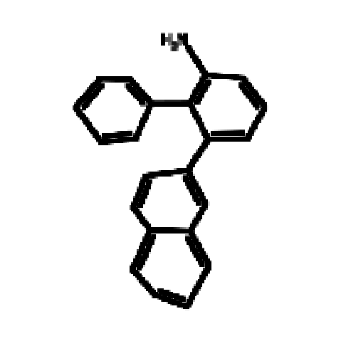 Nc1cccc(-c2ccc3ccccc3c2)c1-c1ccccc1